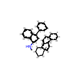 CNc1ccc(-c2ccccc2)c2ccccc12.c1ccc2c(c1)ccc1c3c(ccc12)CCCC3